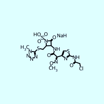 CO/N=C(\C(=O)NC1C(=O)N(S(=O)(=O)O)C1CSc1nnnn1C)c1csc(NC(=O)CCl)n1.[NaH]